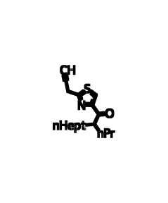 C#CCc1nc(C(=O)C(CCC)CCCCCCC)cs1